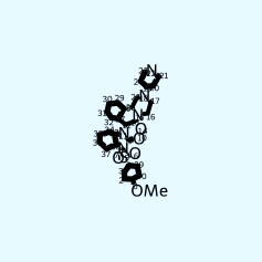 COc1ccc(S(=O)(=O)n2c(=O)n(C(C(=O)N3CCN(c4ccncc4)CC3)c3ccccc3)c3ccccc32)cc1